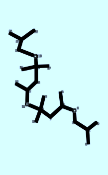 CC(C)COC(C)CC(C)(C)OC(C)CC(C)(C)OCC(C)C